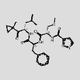 COC[C@H](NC(=O)c1ccno1)C(=O)N[C@@H](Cc1ccccc1)C(=O)N[C@@H](CC(C)C)C(=O)C1(C)CC1